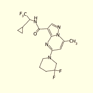 Cc1cc(N2CCCC(F)(F)C2)nc2c(C(=O)NC(C3CC3)C(F)(F)F)cnn12